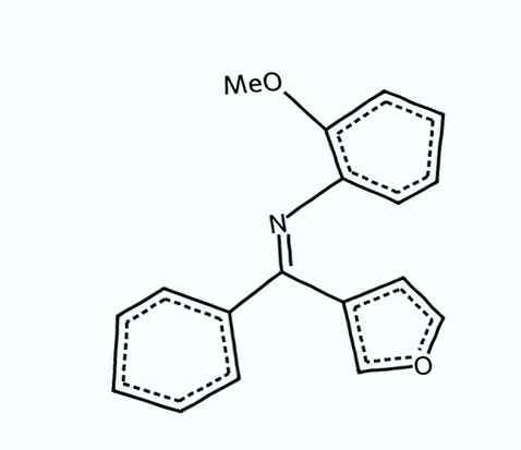 COc1ccccc1N=C(c1ccccc1)c1ccoc1